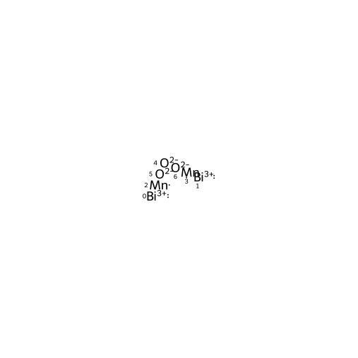 [Bi+3].[Bi+3].[Mn].[Mn].[O-2].[O-2].[O-2]